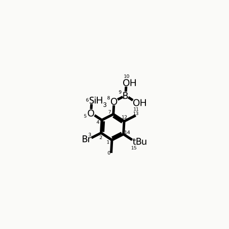 Cc1c(Br)c(O[SiH3])c(OB(O)O)c(C)c1C(C)(C)C